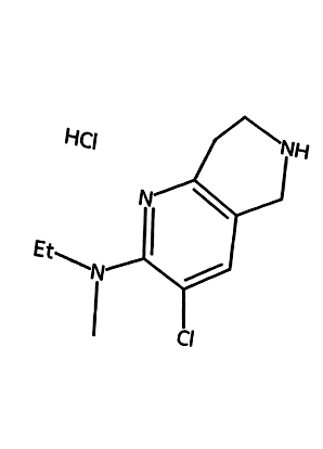 CCN(C)c1nc2c(cc1Cl)CNCC2.Cl